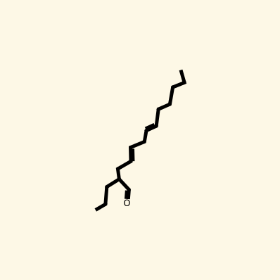 CCCCCC=CCC=CCC(C=O)CCC